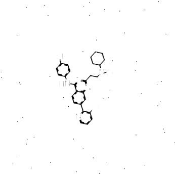 CCN(CCc1nc(Nc2ccc(C(F)(F)F)cc2)c2ccc(-c3ncccc3C(F)(F)F)cc2n1)C1CCCCC1